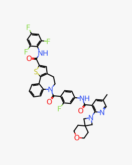 Cc1cnc(N2CC3(CCOCC3)C2)c(C(=O)Nc2ccc(C(=O)N3CCc4cc(C(=O)Nc5c(F)cc(F)cc5F)sc4-c4ccccc43)c(F)c2)c1